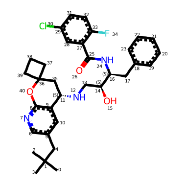 CC(C)(C)Cc1cnc2c(c1)[C@@H](NC[C@H](O)[C@H](Cc1ccccc1)NC(=O)c1cc(Cl)ccc1F)CC1(CCC1)O2